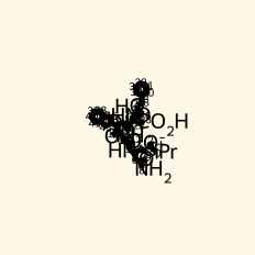 CC(C)[S+]([O-])/C=C/C(CC(N)=O)NC(=O)CNC(=O)C(NC(=O)[C@H](CC(=O)O)NC(=O)OCc1ccccc1)C1Cc2ccccc2C1